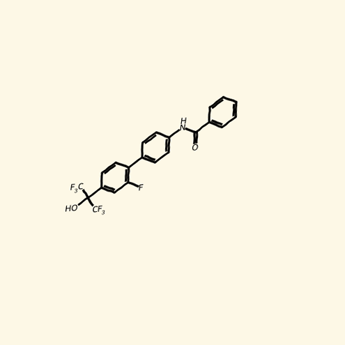 O=C(Nc1ccc(-c2ccc(C(O)(C(F)(F)F)C(F)(F)F)cc2F)cc1)c1ccccc1